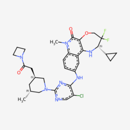 C[C@@H]1C[C@@H](CC(=O)N2CCC2)CN(c2ncc(Cl)c(Nc3ccc4c(c3)c3c(c(=O)n4C)OCC(F)(F)[C@H](C4CC4)N3)n2)C1